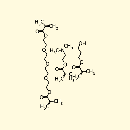 C=C(C)C(=O)OCCCO.C=C(C)C(=O)OCCN(C)C.C=C(C)C(=O)OCCOCCOCCOCCOC(=O)C(=C)C